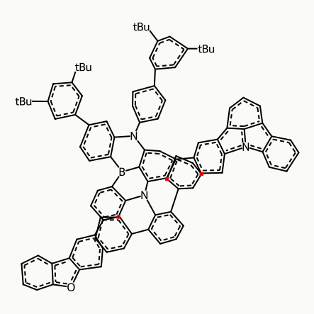 CC(C)(C)c1cc(-c2ccc(N3c4cc(-c5cc(C(C)(C)C)cc(C(C)(C)C)c5)ccc4B4c5ccc(-c6ccc7oc8ccccc8c7c6)cc5N(c5c(-c6ccccc6)cccc5-c5ccccc5)c5cc(-c6ccc7c(c6)c6cccc8c9ccccc9n7c86)cc3c54)cc2)cc(C(C)(C)C)c1